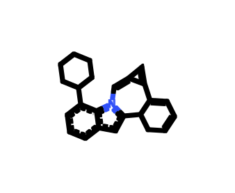 C1=CCC2C(=C1)C1=CC1=Cn1c2cc2cccc(C3CCCCC3)c21